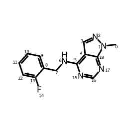 Cn1ncc2c(NCc3ccccc3F)ncnc21